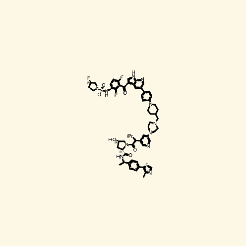 Cc1ncsc1-c1ccc(C(C)NC(=O)[C@@H]2C[C@@H](O)CN2C(=O)C(c2cncc(N3CCN(CC4CCN(c5ccc(-c6cnc7[nH]cc(C(=O)c8c(F)ccc(NS(=O)(=O)N9CC[C@@H](F)C9)c8F)c7c6)cc5)CC4)CC3)c2)C(C)C)cc1